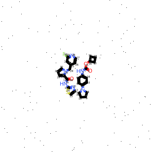 O=C(Nc1ccc(N2CCC[C@@H]2c2csc(NC(=O)c3cccn3Cc3ccnc(F)c3)n2)cc1)OC1CCC1